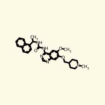 COc1cc2c(NC(=O)NC(C)c3cccc4ccccc34)ncnc2cc1OCC1CCN(C)CC1